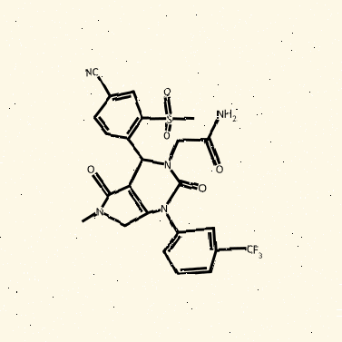 CN1CC2=C(C1=O)C(c1ccc(C#N)cc1S(C)(=O)=O)N(CC(N)=O)C(=O)N2c1cccc(C(F)(F)F)c1